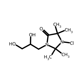 CC1(C)C(=O)N(CC(O)CO)C(C)(C)N1Cl